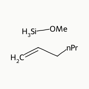 C=CCCCC.CO[SiH3]